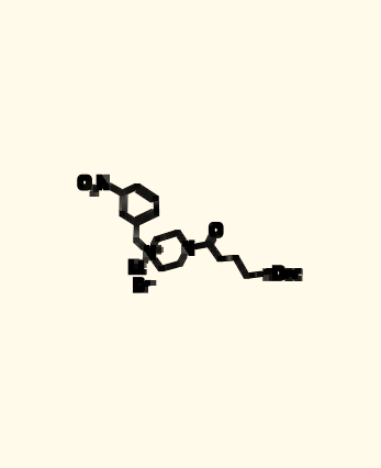 CCCCCCCCCCCCCC(=O)N1CC[N+](CC)(Cc2cccc([N+](=O)[O-])c2)CC1.[Br-]